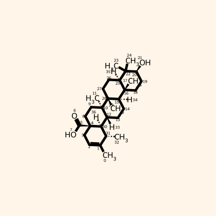 CC1=CC[C@]2(C(=O)O)CC[C@]3(C)[C@H](CC[C@@H]4[C@@]5(C)CC[C@H](O)C(C)(C)[C@@H]5CC[C@]43C)[C@H]2[C@@H]1C